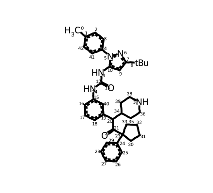 Cc1ccc(-n2nc(C(C)(C)C)cc2NC(=O)Nc2cccc(C(C(=O)C3(c4ccccc4)CCCC3)C3CCNCC3)c2)cc1